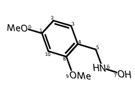 COc1ccc(CNO)c(OC)c1